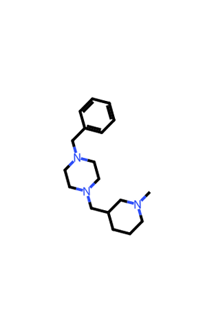 CN1CCCC(CN2CCN(Cc3ccccc3)CC2)C1